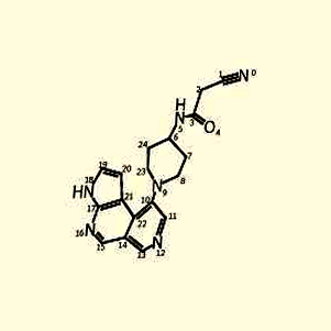 N#CCC(=O)NC1CCN(c2cncc3cnc4[nH]ccc4c23)CC1